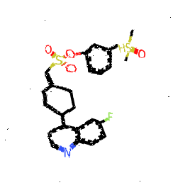 C[SH](C)(=O)Cc1cccc(OS(=O)(=O)C=C2CCC(c3ccnc4ccc(F)cc34)CC2)c1